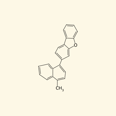 Cc1ccc(-c2ccc3c(c2)oc2ccccc23)c2ccccc12